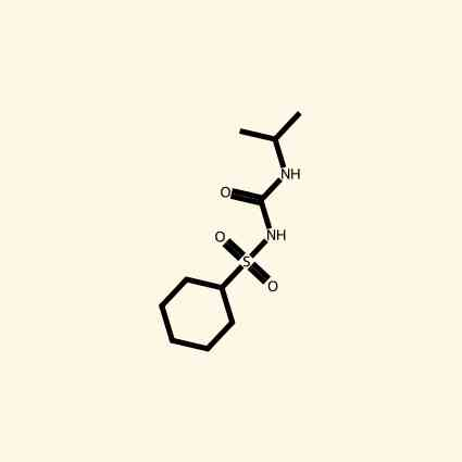 CC(C)NC(=O)NS(=O)(=O)C1CCCCC1